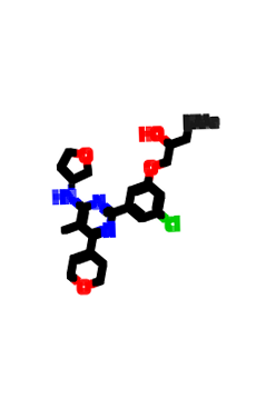 CNCC(O)COc1cc(Cl)cc(-c2nc(N[C@@H]3CCOC3)c(C)c(C3=CCOCC3)n2)c1